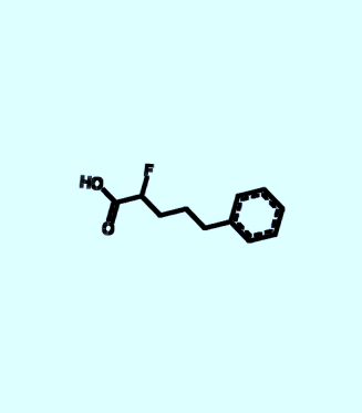 O=C(O)C(F)CCCc1ccccc1